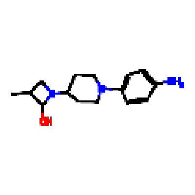 CC1CN(C2CCN(c3ccc(N)cc3)CC2)C1O